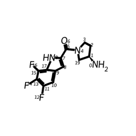 N[C@@H]1CCN(C(=O)c2cc3cc(F)c(F)c(F)c3[nH]2)C1